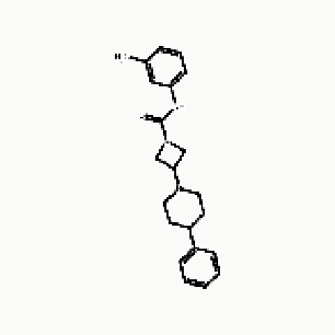 Cc1cccc(NC(=O)N2CC(N3CCC(c4ccccc4)CC3)C2)c1